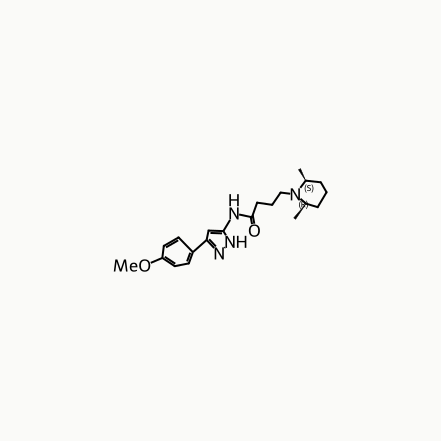 COc1ccc(-c2cc(NC(=O)CCCN3[C@H](C)CCC[C@@H]3C)[nH]n2)cc1